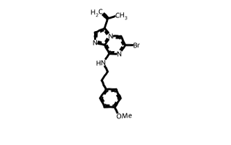 C=C(C)c1cnc2c(NCCc3ccc(OC)cc3)nc(Br)cn12